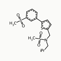 CC(C)CN(Cc1ccc(-c2cccc(S(C)(=O)=O)c2)s1)S(C)(=O)=O